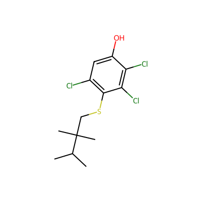 CC(C)C(C)(C)CSc1c(Cl)cc(O)c(Cl)c1Cl